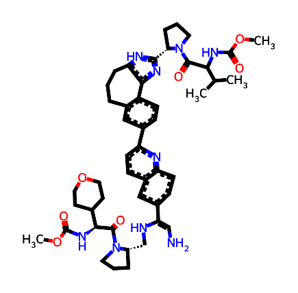 COC(=O)NC(C(=O)N1CCC[C@H]1c1nc2c([nH]1)CCCc1cc(-c3ccc4cc(/C(=C/N)NC[C@@H]5CCCN5C(=O)[C@@H](NC(=O)OC)C5CCOCC5)ccc4n3)ccc1-2)C(C)C